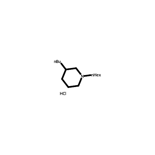 CCCCCCN1CCCC(CCCC)C1.Cl